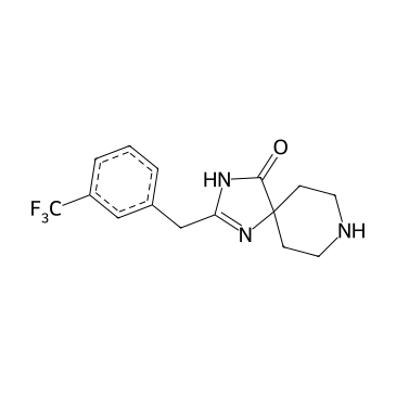 O=C1NC(Cc2cccc(C(F)(F)F)c2)=NC12CCNCC2